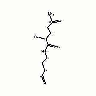 C=CCCCNC(=O)[C@@H](N)CCC(N)=O